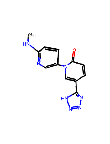 CCC(C)Nc1ccc(-n2cc(-c3nnn[nH]3)ccc2=O)cn1